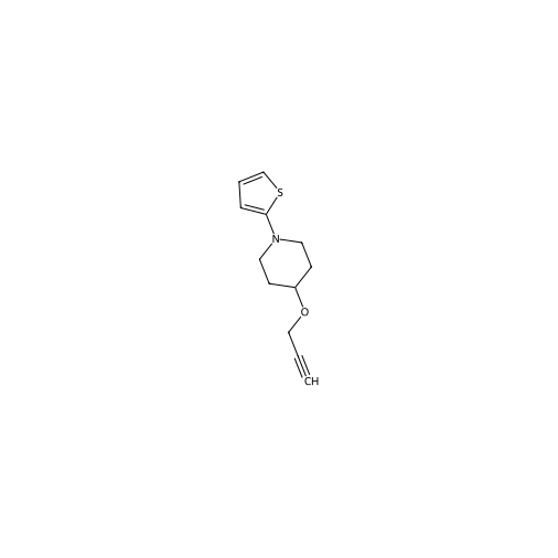 C#CCOC1CCN(c2cccs2)CC1